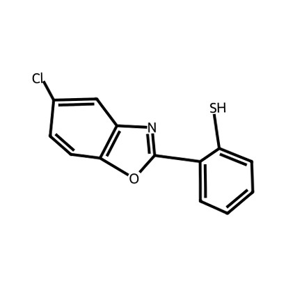 Sc1ccccc1-c1nc2cc(Cl)ccc2o1